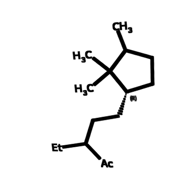 CCC(CC[C@H]1CCC(C)C1(C)C)C(C)=O